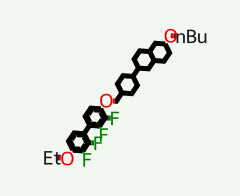 CCCCOC1CCC2CC(C3CCC(COc4ccc(-c5ccc(OCC)c(F)c5F)c(F)c4F)CC3)CCC2C1